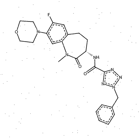 CN1C(=O)[C@@H](NC(=O)c2nnn(Cc3ccccc3)n2)CCc2cc(F)c(N3CCOCC3)cc21